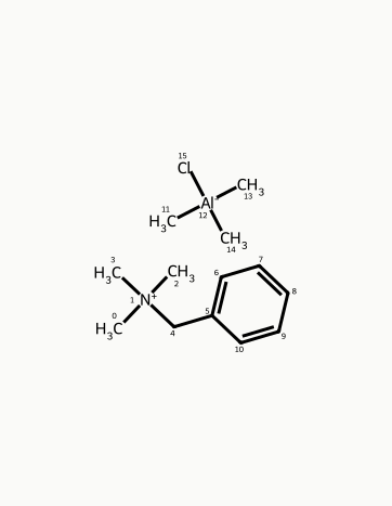 C[N+](C)(C)Cc1ccccc1.[CH3][Al-]([CH3])([CH3])[Cl]